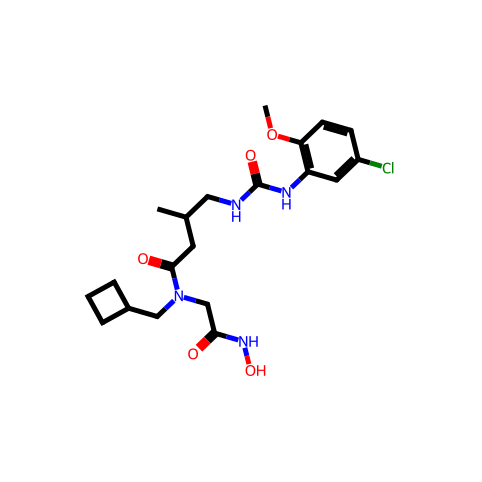 COc1ccc(Cl)cc1NC(=O)NCC(C)CC(=O)N(CC(=O)NO)CC1CCC1